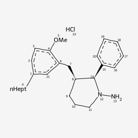 CCCCCCCc1ccc(OC)c(C[C@@H]2CCCN(N)[C@@H]2c2ccccc2)c1.Cl